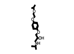 CC(C)NC[C@@H](O)COc1ccc(OCCOC(C)C)cc1